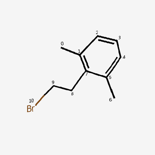 Cc1cccc(C)c1CCBr